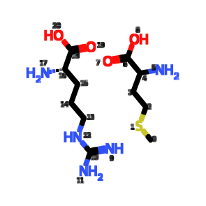 CSCCC(N)C(=O)O.N=C(N)NCCC[C@H](N)C(=O)O